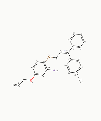 O=C(O)COc1ccc(SC/C=C(/c2ccccc2)c2ccc(C(F)(F)F)cc2)c(I)c1